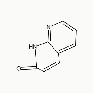 O=c1[c]cc2cccnc2[nH]1